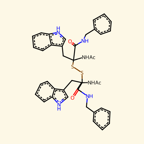 CC(=O)NC(Cc1c[nH]c2ccccc12)(SSC(Cc1c[nH]c2ccccc12)(NC(C)=O)C(=O)NCc1ccccc1)C(=O)NCc1ccccc1